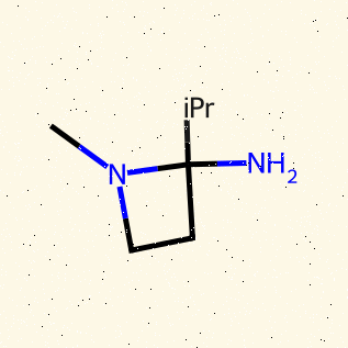 CC(C)C1(N)CCN1C